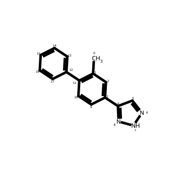 Cc1cc(-c2cn[nH]n2)ccc1-c1ccccc1